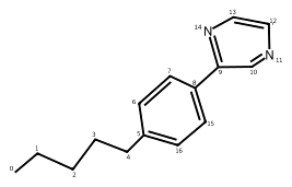 CCCCCc1ccc(-c2cn[c]cn2)cc1